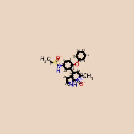 CC[S+]([O-])Nc1ccc(Oc2ccccc2)c(-c2cc(C)[n+]([O-])c3[nH]ccc23)c1